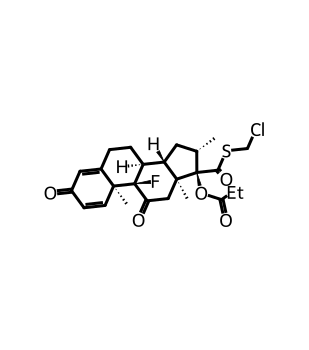 CCC(=O)O[C@]1(C(=O)SCCl)[C@@H](C)C[C@H]2[C@@H]3CCC4=CC(=O)C=C[C@]4(C)[C@@]3(F)C(=O)C[C@@]21C